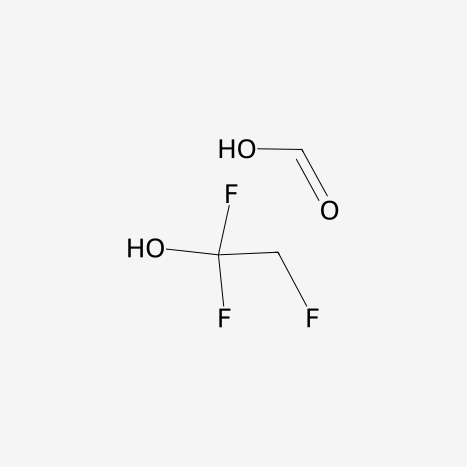 O=CO.OC(F)(F)CF